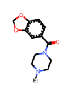 CCN1CCN(C(=O)c2ccc3c(c2)OCO3)CC1